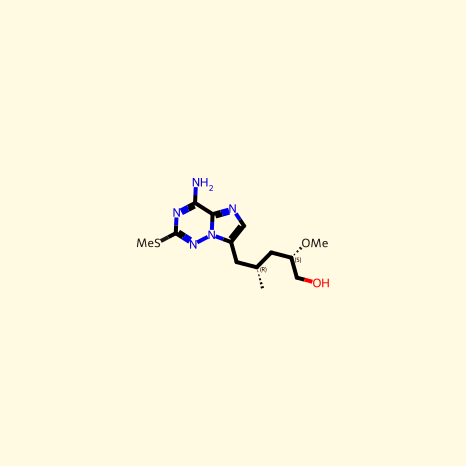 CO[C@H](CO)C[C@H](C)Cc1cnc2c(N)nc(SC)nn12